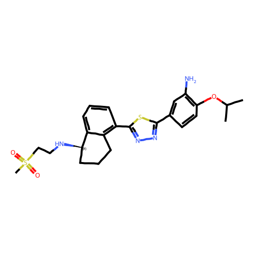 CC(C)Oc1ccc(-c2nnc(-c3cccc4c3CCC[C@H]4NCCS(C)(=O)=O)s2)cc1N